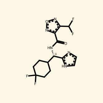 O=C(N[C@H](c1ncc[nH]1)C1CCC(F)(F)CC1)c1nonc1C(F)F